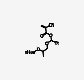 C=C(C#N)C(=O)OC(CC)OCC(C)OCCCCCC